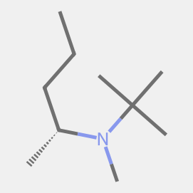 CCC[C@@H](C)N(C)C(C)(C)C